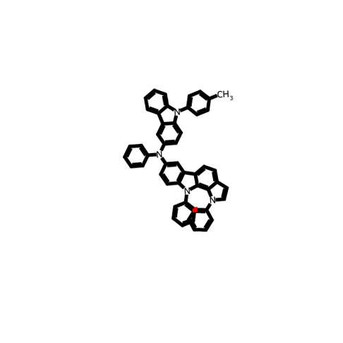 Cc1ccc(-n2c3ccccc3c3cc(N(c4ccccc4)c4ccc5c(c4)c4ccc6ccn(-c7ccccc7)c6c4n5-c4ccccc4)ccc32)cc1